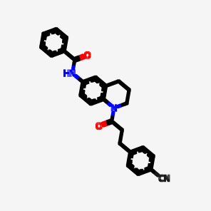 N#Cc1ccc(CCC(=O)N2CCCc3cc(NC(=O)c4ccccc4)ccc32)cc1